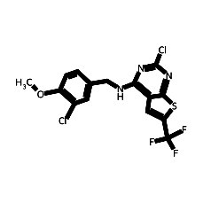 COc1ccc(CNc2nc(Cl)nc3sc(C(F)(F)F)cc23)cc1Cl